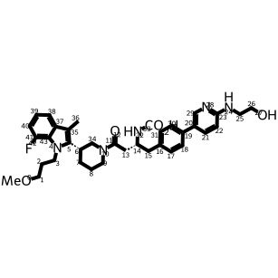 COCCCn1c([C@H]2CCCN(C(=O)C[C@@H](Cc3ccc(-c4ccc(NCCO)nc4)cc3)NC(=O)O)C2)c(C)c2cccc(F)c21